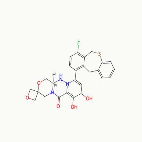 O=C1C2=C(O)C(O)C=C(c3ccc(F)c4c3Cc3ccccc3SC4)N2N[C@@H]2COC3(COC3)CN12